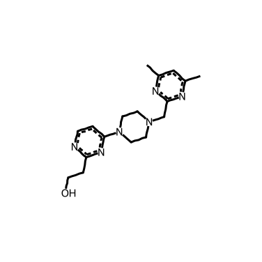 Cc1cc(C)nc(CN2CCN(c3ccnc(CCO)n3)CC2)n1